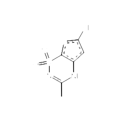 CC1=NS(=O)(=O)c2sc(Cl)cc2N1